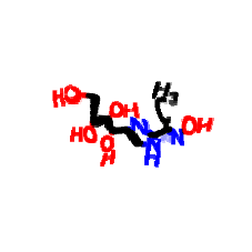 C/C(=N\O)c1nc(C(O)C(O)C(O)CO)c[nH]1